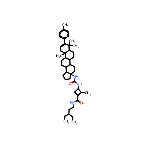 CCC(CC)CCNC(=O)C1CC(NC(=O)NC23CCCC2C2CCC4C(CCC5C(C)(C)C(c6ccc(C)cc6)=CCC45C)C2CC3)C1C